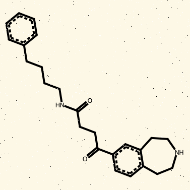 O=C(CCC(=O)c1ccc2c(c1)CCNCC2)NCCCCc1ccccc1